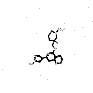 CC(C)(C)n1cc(-c2cc3ncccc3c(NC[C@]3(F)CCCN(C(=O)O)C3)n2)cn1